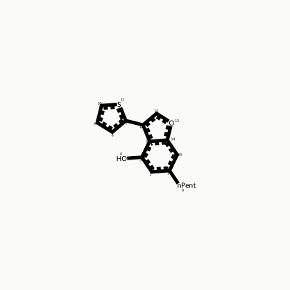 CCCCCc1cc(O)c2c(-c3cccs3)coc2c1